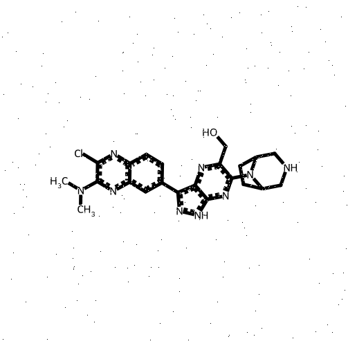 CN(C)c1nc2cc(-c3n[nH]c4nc(N5C6CCC5CNC6)c(CO)nc34)ccc2nc1Cl